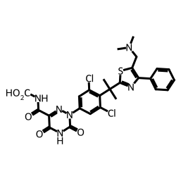 CN(C)Cc1sc(C(C)(C)c2c(Cl)cc(-n3nc(C(=O)NC(=O)O)c(=O)[nH]c3=O)cc2Cl)nc1-c1ccccc1